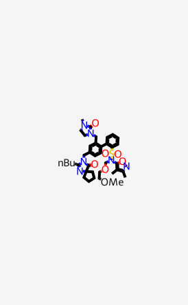 CCCCC1=NC2(CCCC2)C(=O)N1Cc1ccc(-c2ccccc2S(=O)(=O)N(COCCOC)c2onc(C)c2C)c(CN2CCN(C)C2=O)c1